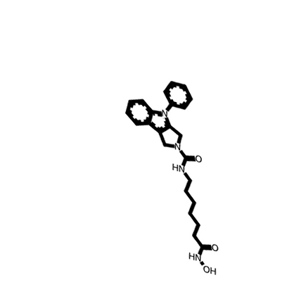 O=C(CCCCCCNC(=O)N1Cc2c(n(-c3ccccc3)c3ccccc23)C1)NO